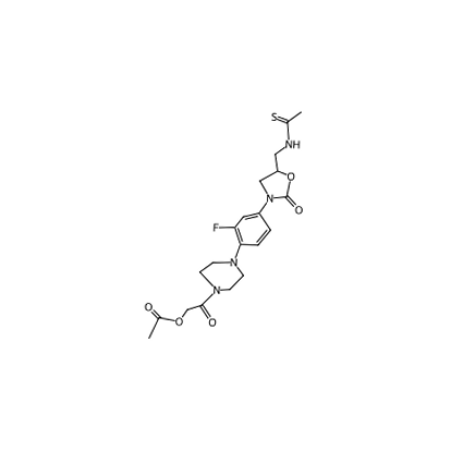 CC(=O)OCC(=O)N1CCN(c2ccc(N3CC(CNC(C)=S)OC3=O)cc2F)CC1